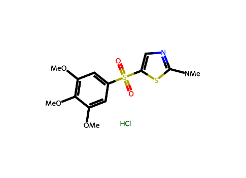 CNc1ncc(S(=O)(=O)c2cc(OC)c(OC)c(OC)c2)s1.Cl